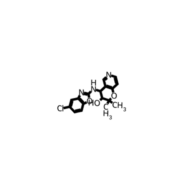 CC1(C)Oc2ccncc2C(Nc2nc3cc(Cl)ccc3o2)C1O